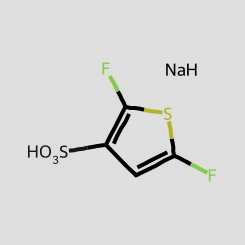 O=S(=O)(O)c1cc(F)sc1F.[NaH]